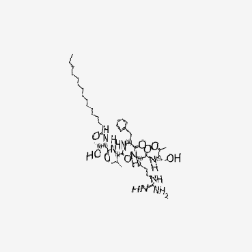 CCCCCCCCCCCCCCCC(=O)N[C@H](C(=O)N[C@H](C(=O)N[C@@H](Cc1ccccc1)C(=O)N[C@H](CCCNC(=N)N)C(=O)N[C@@H](CO)C(C)=O)C(C)C)[C@@H](C)O